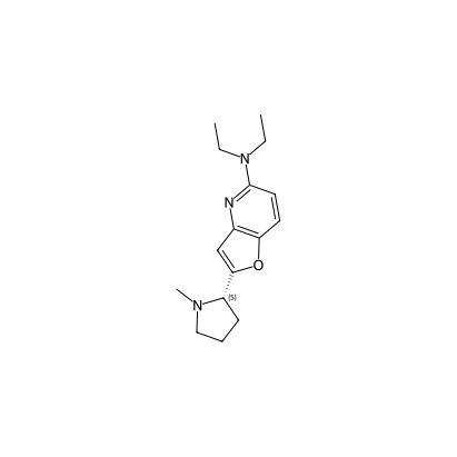 CCN(CC)c1ccc2oc([C@@H]3CCCN3C)cc2n1